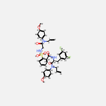 C=CCN(C(=O)CNS(=O)(=O)c1ccccc1C(=O)N[C@@H](Cc1cc(F)cc(F)c1)C(=O)N(CC=C)c1ccc(OC)cc1)c1ccc(OC)cc1